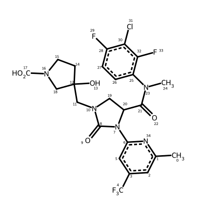 Cc1cc(C(F)(F)F)cc(N2C(=O)N(CC3(O)CCN(C(=O)O)C3)CC2C(=O)N(C)c2ccc(F)c(Cl)c2F)n1